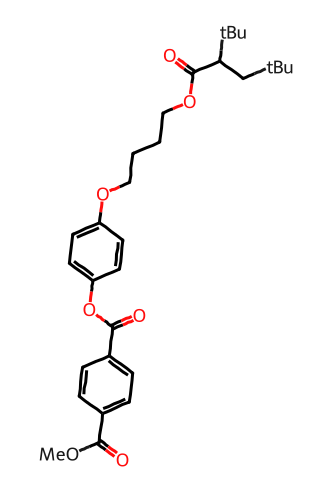 COC(=O)c1ccc(C(=O)Oc2ccc(OCCCCOC(=O)C(CC(C)(C)C)C(C)(C)C)cc2)cc1